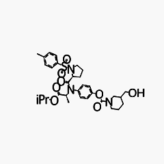 Cc1ccc(S(=O)(=O)N2CCC[C@H]2C(=O)N(c2ccc(OC(=O)N3CCCC(CO)C3)cc2)[C@@H](C)C(=O)OC(C)C)cc1